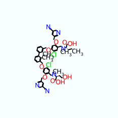 CCC[C@@H](C(=O)O)N(C)Cc1cc(Cl)c(OCc2cccc(-c3cccc(COc4cc(OCc5cncc(C#N)c5)c(CN(C)[C@@H](CCO)C(=O)O)cc4Cl)c3C)c2C)cc1OCc1cncc(C#N)c1